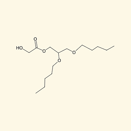 CCCCCOCC(COC(=O)CO)OCCCCC